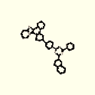 c1ccc(-c2nc(-c3ccc(-c4ccc5c(c4)c4ccccc4c4nc6ccccn6c54)cc3)nc(-c3ccc4ccccc4c3)n2)cc1